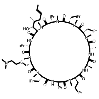 C/C=C/C[C@@H](C)[C@@H](O)[C@H]1C(=O)N[C@@H](CCC)C(=O)N(C)[C@@H](CSCCN(C)C)C(=O)N(C)[C@@H](CC(C)C)C(=O)N[C@H](C(C)C)C(=O)N(C)[C@H](CCC(C)C)C(=O)N[C@H](C)C(=O)N[C@@H](C)C(=O)N(C)[C@@H](CC(C)C)C(=O)N(C)[C@@H](CC(C)C)C(=O)N(C)[C@@H](C(C)C)C(=O)N1C